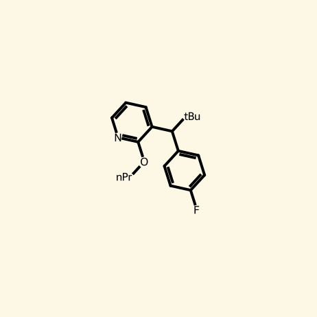 CCCOc1ncccc1C(c1ccc(F)cc1)C(C)(C)C